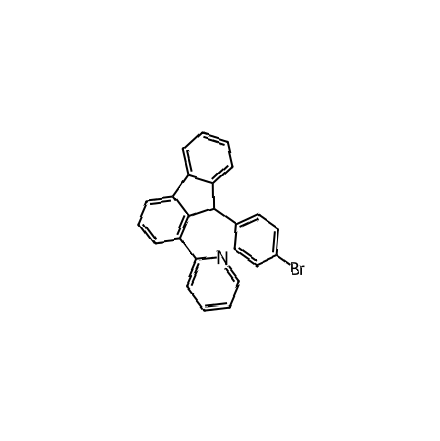 Brc1ccc(C2c3ccccc3-c3cccc(-c4ccccn4)c32)cc1